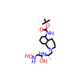 C[C@@H](CN1CCCC2C(CCCC2NC(=O)OC(C)(C)C)C1)N[C@@H](O)CNO